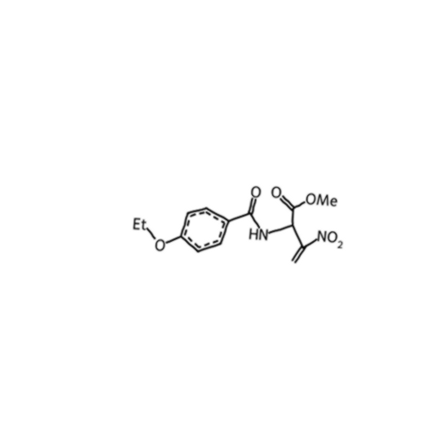 C=C(C(NC(=O)c1ccc(OCC)cc1)C(=O)OC)[N+](=O)[O-]